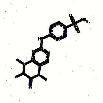 CC1C(=O)N(C)c2cnc(Nc3ccc(S(N)(=O)=O)cc3)nc2N1C